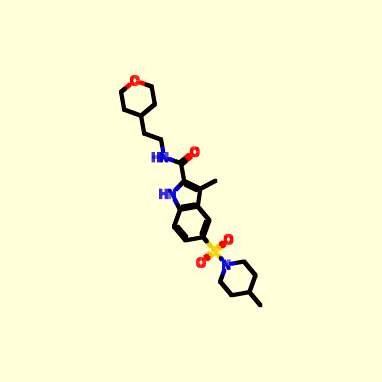 Cc1c(C(=O)NCCC2CCOCC2)[nH]c2ccc(S(=O)(=O)N3CCC(C)CC3)cc12